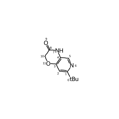 CC(C)(C)c1cc2c(cn1)NC(=O)CO2